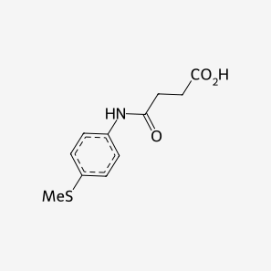 CSc1ccc(NC(=O)CCC(=O)O)cc1